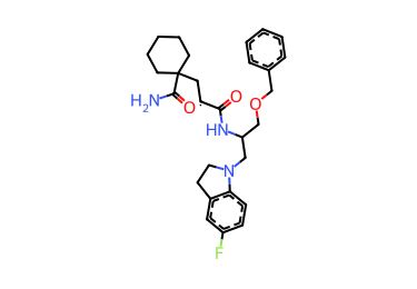 NC(=O)C1(C[CH]C(=O)NC(COCc2ccccc2)CN2CCc3cc(F)ccc32)CCCCC1